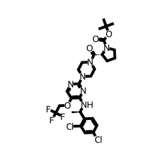 C[C@@H](Nc1nc(N2CCN(C(=O)[C@H]3CCCN3C(=O)OC(C)(C)C)CC2)ncc1OCC(F)(F)F)c1ccc(Cl)cc1Cl